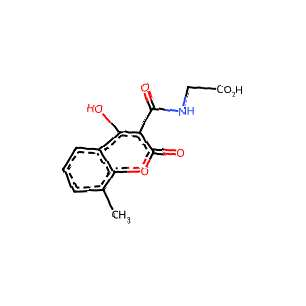 Cc1cccc2c(O)c(C(=O)NCC(=O)O)c(=O)oc12